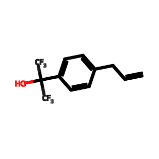 C=CCc1ccc(C(O)(C(F)(F)F)C(F)(F)F)cc1